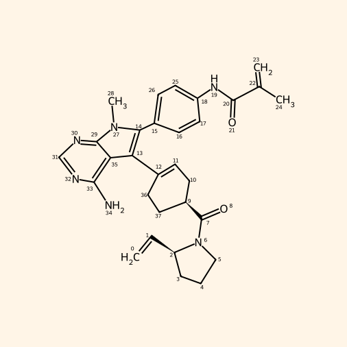 C=C[C@@H]1CCCN1C(=O)[C@@H]1CC=C(c2c(-c3ccc(NC(=O)C(=C)C)cc3)n(C)c3ncnc(N)c23)CC1